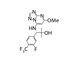 COc1cc(N[C@@H](c2ccc(C(F)(F)F)c(F)c2)C(C)(C)O)n2ncnc2n1